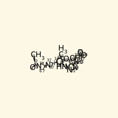 CC#CC(=O)N1CCC(N2CC(c3cc(C)c4c(c3)Nc3ncnc(N5CCS(=O)(=O)CC5)c3[C@H](C)O4)C2)C1